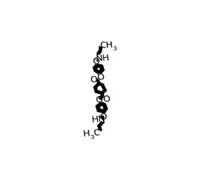 CCCCNOc1ccc(OC(=O)C2CCC(C(=O)Oc3ccc(ONCCCC)cc3)CC2)cc1